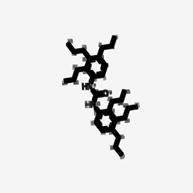 CCCc1ccc(NC(=O)Nc2ccc(CCC)c(CCC)c2CCC)c(CCC)c1CCC